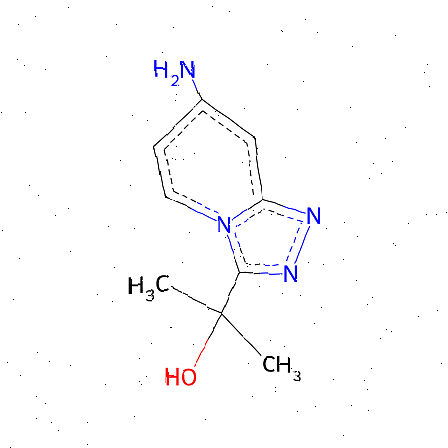 CC(C)(O)c1nnc2cc(N)ccn12